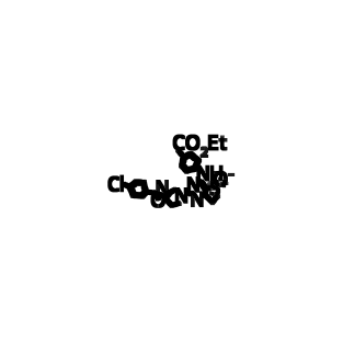 CCOC(=O)Cc1ccc(Nc2nc(N3CCc4oc(-c5ccc(Cl)cc5)nc4C3)nc3c2[S@+]([O-])CC3)cc1